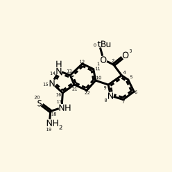 CC(C)(C)OC(=O)c1cccnc1-c1ccc2[nH]nc(NC(N)=S)c2c1